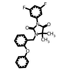 CC1(C)C(=O)N(c2cc(F)cc(F)c2)C(=O)N1Cc1ccccc1Oc1ccccc1